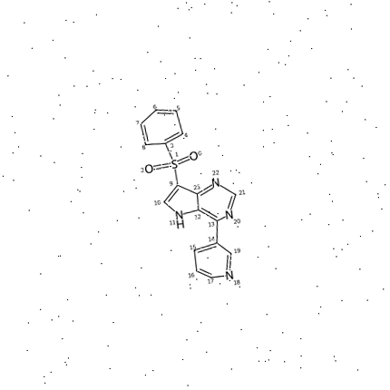 O=S(=O)(c1ccccc1)c1c[nH]c2c(-c3cccnc3)ncnc12